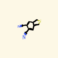 N#Cc1cc2cscc2cc1C#N